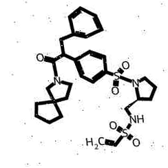 C=CS(=O)(=O)NC[C@@H]1CCCN1S(=O)(=O)c1ccc(C(Cc2ccccc2)C(=O)N2CCC3(CCCC3)C2)cc1